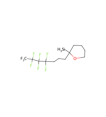 FC(F)(F)C(F)(F)C(F)(F)C(F)(F)CCCC1([SiH3])CCCCO1